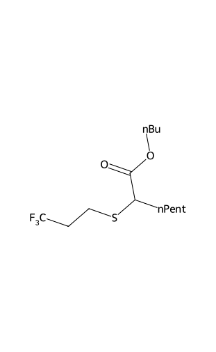 CCCCCC(SCCC(F)(F)F)C(=O)OCCCC